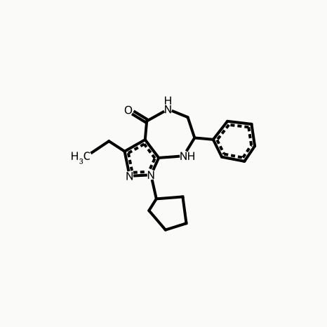 CCc1nn(C2CCCC2)c2c1C(=O)NCC(c1ccccc1)N2